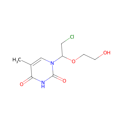 Cc1cn(C(CCl)OCCO)c(=O)[nH]c1=O